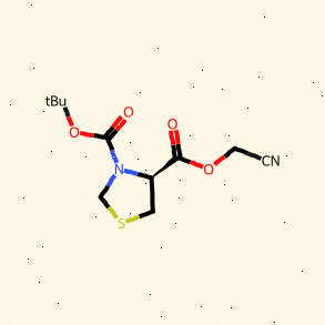 CC(C)(C)OC(=O)N1CSC[C@@H]1C(=O)OCC#N